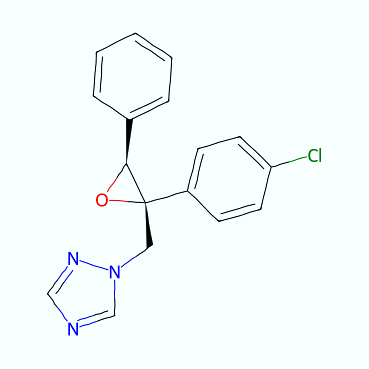 Clc1ccc([C@]2(Cn3cncn3)O[C@H]2c2ccccc2)cc1